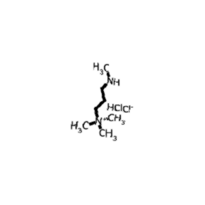 CNCCC[N+](C)(C)C.Cl.[Cl-]